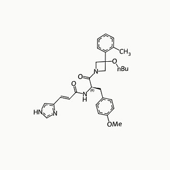 CCCCOC1(c2ccccc2C)CN(C(=O)[C@@H](Cc2ccc(OC)cc2)NC(=O)C=Cc2c[nH]cn2)C1